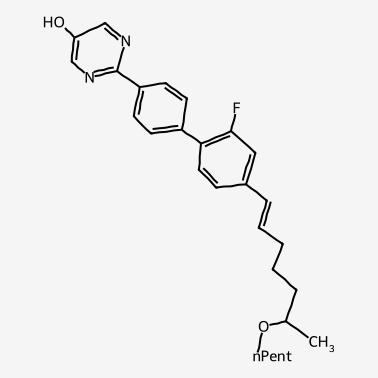 CCCCCOC(C)CCC/C=C/c1ccc(-c2ccc(-c3ncc(O)cn3)cc2)c(F)c1